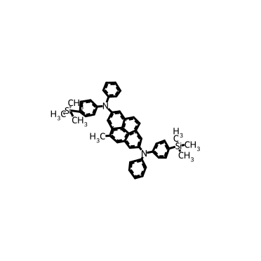 Cc1cc2cc(N(c3ccccc3)c3ccc([Si](C)(C)C)cc3)cc3ccc4cc(N(c5ccccc5)c5ccc([Si](C)(C)C)cc5)cc1c4c32